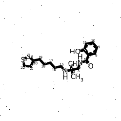 CC(C)(CNC(=O)c1ccccc1O)NCCCCCC1CCSS1